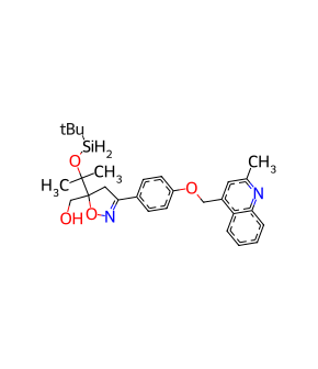 Cc1cc(COc2ccc(C3=NOC(CO)(C(C)(C)O[SiH2]C(C)(C)C)C3)cc2)c2ccccc2n1